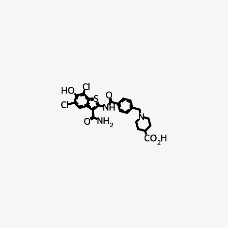 NC(=O)c1c(NC(=O)c2ccc(CN3CCC(C(=O)O)CC3)cc2)sc2c(Cl)c(O)c(Cl)cc12